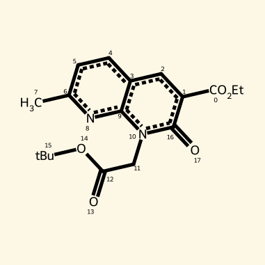 CCOC(=O)c1cc2ccc(C)nc2n(CC(=O)OC(C)(C)C)c1=O